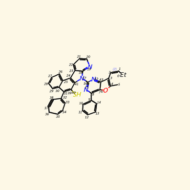 CC/C=C\c1c(C)oc2c(-c3ccccc3)nc(-n3c4ncccc4c4c5ccccc5c(C5=CC=CCC#C5)c(S)c43)nc12